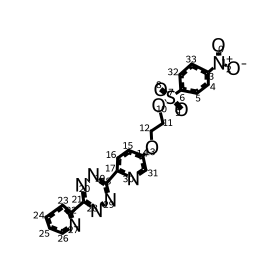 O=[N+]([O-])c1ccc(S(=O)(=O)OCCOc2ccc(-c3nnc(-c4ccccn4)nn3)nc2)cc1